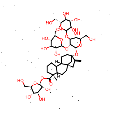 C=C1C[C@@]23CC[C@H]4[C@@](C)(CCC[C@@]4(C)C(=O)O[C@@H]4O[C@H](CO)[C@@H](O)[C@H](O)[C@H]4O)[C@@H]2CC[C@]1(O[C@@H]1O[C@H](CO)[C@@H](O)[C@H](OC2O[C@H](CO)[C@@H](O)[C@H](O)[C@H]2O)[C@H]1OC1O[C@H](CO)[C@@H](O)[C@H](O)[C@H]1O)C3